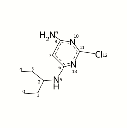 CCC(CC)Nc1cc(N)nc(Cl)n1